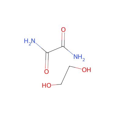 NC(=O)C(N)=O.OCCO